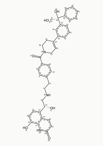 O=C(c1ccc(CCNC[C@H](O)c2ccc(O)c3[nH]c(=O)ccc23)cc1)N1CC=C(c2cccc([C@](O)(C(=O)O)c3ccccc3)c2)CC1